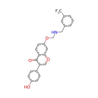 O=c1c(-c2ccc(O)cc2)coc2cc(OCNCc3cccc(C(F)(F)F)c3)ccc12